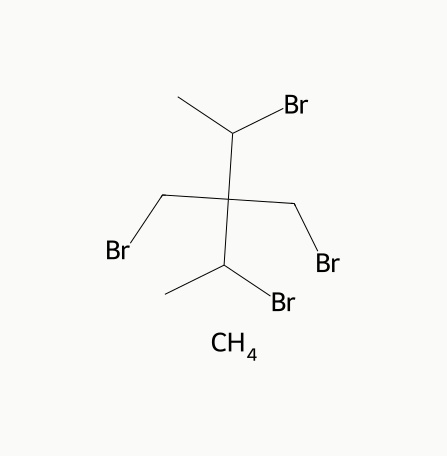 C.CC(Br)C(CBr)(CBr)C(C)Br